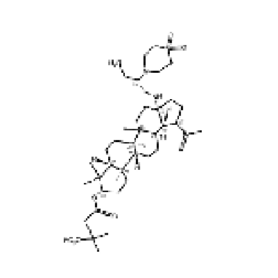 C=C(C)[C@@H]1CC[C@]2(NC[C@H](CN)N3CCS(=O)(=O)CC3)CC[C@]3(C)[C@H](CC[C@@H]4[C@@]5(C)CC[C@H](OC(=O)CC(C)(C)C(=O)O)C(C)(C)[C@@H]5CC[C@]43C)[C@@H]12